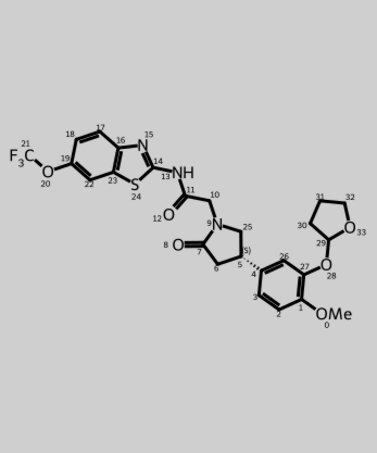 COc1ccc([C@@H]2CC(=O)N(CC(=O)Nc3nc4ccc(OC(F)(F)F)cc4s3)C2)cc1OC1CCCO1